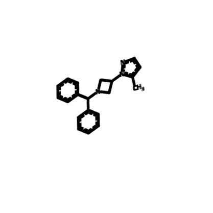 Cc1ccnn1C1CN(C(c2ccccc2)c2ccccc2)C1